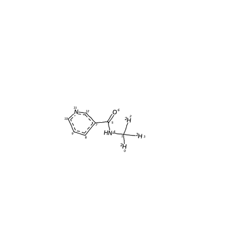 [2H]C([2H])([2H])NC(=O)c1cccnc1